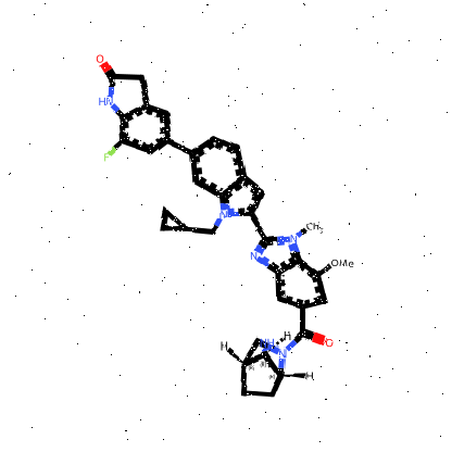 COc1cc(C(=O)N2C[C@H]3CC[C@@H]2[C@@H]3N)cc2nc(-c3cc4ccc(-c5cc(F)c6c(c5)CC(=O)N6)cc4n3CC3CC3)n(C)c12